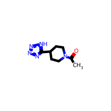 CC(=O)N1CCC(c2nnn[nH]2)CC1